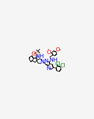 COc1ccc(CNc2nc(N3CCC4(CC3)Cc3ccccc3[C@H]4N[S+]([O-])C(C)(C)C)cc3ncc(-c4cccc(Cl)c4Cl)cc23)c(OC)c1